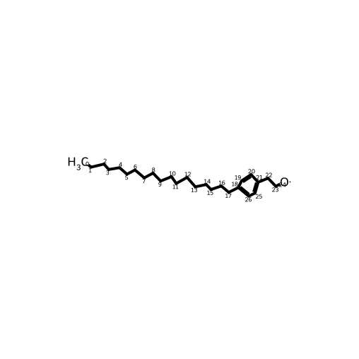 CCCCCCCCCCCCCCCCCCc1ccc(CC[O])cc1